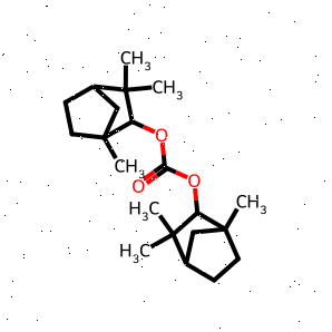 CC12CCC(C1)C(C)(C)C2OC(=O)OC1C2(C)CCC(C2)C1(C)C